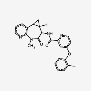 CN1C(=O)C(NC(=O)c2cc(Oc3ccccc3F)ccn2)[C@H]2CC2c2cccnc21